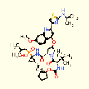 C=C[C@@H]1C[C@]1(NC(=O)[C@@H]1C[C@@H](Oc2cc(-c3csc(NC(C)C)n3)nc3cc(OC)ccc23)CN1C(=O)[C@@H](NC(=O)OC1CCCC1)C(C)(C)C)P(=O)(O)C=C(C)C